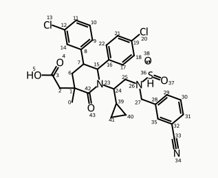 CC1(CC(=O)O)CC(c2cccc(Cl)c2)C(c2ccc(Cl)cc2)N(C(CN(Cc2cccc(C#N)c2)[SH](=O)=O)C2CC2)C1=O